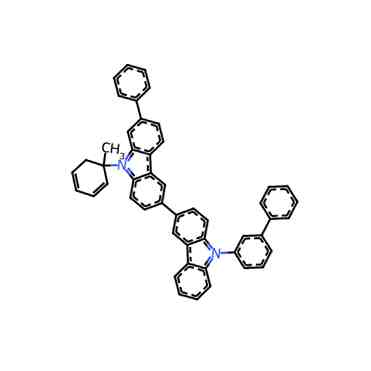 CC1(n2c3ccc(-c4ccc5c(c4)c4ccccc4n5-c4cccc(-c5ccccc5)c4)cc3c3ccc(-c4ccccc4)cc32)C=CC=CC1